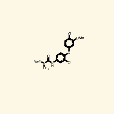 COc1cc(Oc2ccc(NC(=O)N(C)OC)cc2Cl)ccc1Cl